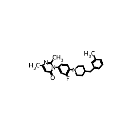 Cc1cccc(CC2CCN(c3ccc(-n4c(C)nc(C)cc4=O)cc3F)CC2)c1